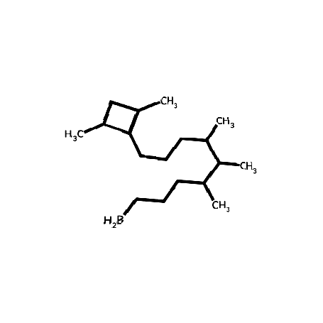 BCCCC(C)C(C)C(C)CCCC1C(C)CC1C